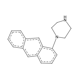 c1ccc2cc3c(N4CCNCC4)cccc3cc2c1